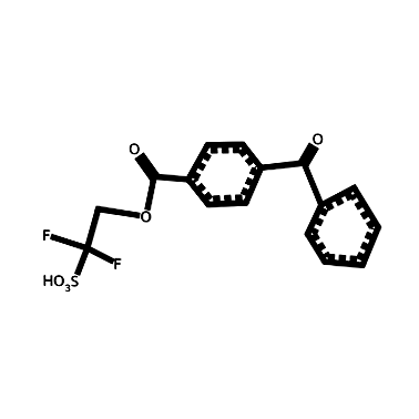 O=C(OCC(F)(F)S(=O)(=O)O)c1ccc(C(=O)c2ccccc2)cc1